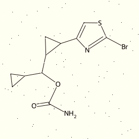 NC(=O)OC(C1CC1)C1CC1c1csc(Br)n1